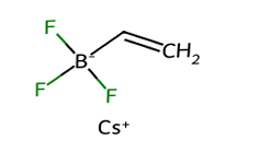 C=C[B-](F)(F)F.[Cs+]